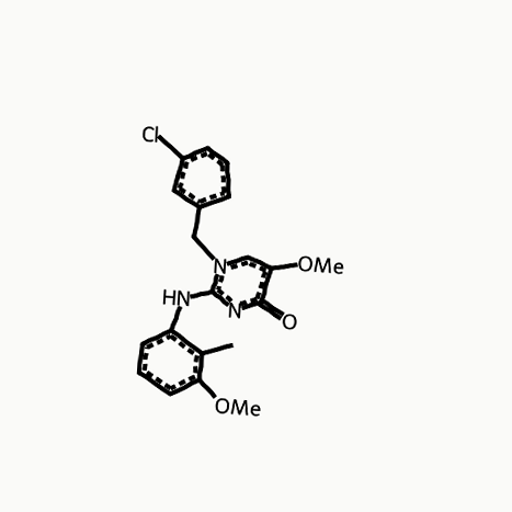 COc1cccc(Nc2nc(=O)c(OC)cn2Cc2cccc(Cl)c2)c1C